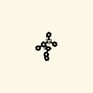 c1ccc(-c2nc(-c3ccccc3)nc(-c3ccc(-c4ccccc4)c4sc5c(-c6ccc7ccccc7c6)cccc5c34)n2)cc1